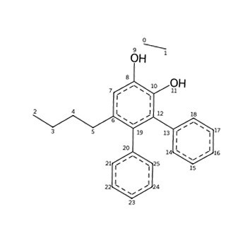 CC.CCCCc1cc(O)c(O)c(-c2ccccc2)c1-c1ccccc1